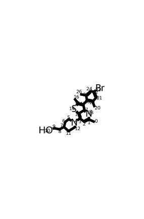 Cc1cc(N2CCC(CCO)CC2)c2sc(C)c(-c3c(C)cc(Br)cc3C)c2n1